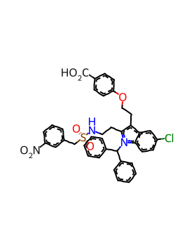 O=C(O)c1ccc(OCCc2c(CCNS(=O)(=O)Cc3cccc([N+](=O)[O-])c3)n(C(c3ccccc3)c3ccccc3)c3ccc(Cl)cc23)cc1